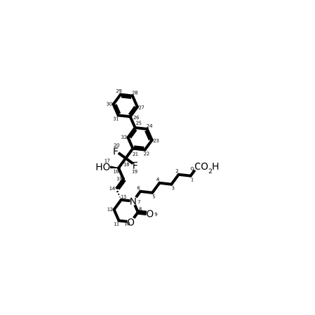 O=C(O)CCCCCCN1C(=O)OCC[C@@H]1/C=C/[C@@H](O)C(F)(F)c1cccc(-c2ccccc2)c1